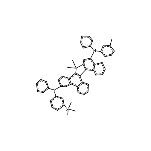 Cc1cccc(N(c2ccccc2)c2cc3c(c4ccccc24)-c2c(c4ccc(N(c5ccccc5)c5cccc([Si](C)(C)C)c5)cc4c4ccccc24)C3(C)C)c1